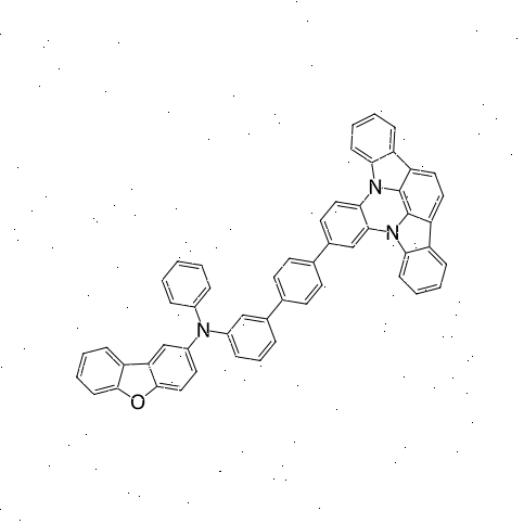 c1ccc(N(c2cccc(-c3ccc(-c4ccc5c(c4)n4c6ccccc6c6ccc7c8ccccc8n5c7c64)cc3)c2)c2ccc3oc4ccccc4c3c2)cc1